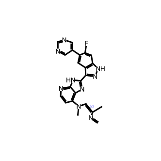 C=N/C(C)=C\N(C)c1ccnc2[nH]c(-c3n[nH]c4cc(F)c(-c5cncnc5)cc34)nc12